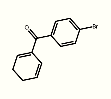 O=C(C1=CCCC=C1)c1ccc(Br)cc1